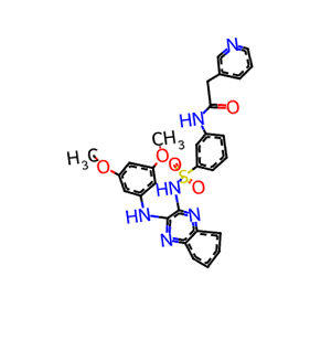 COc1cc(Nc2nc3ccccc3nc2NS(=O)(=O)c2cccc(NC(=O)Cc3cccnc3)c2)cc(OC)c1